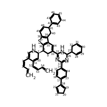 C=C/C=C\C1=CN[C@@H](C2CC(C3=NC(c4ccc(C5=CCC=C5)cc4)=NC(C4C=CC=CC4)N3)=Cc3c2sc2c3CC(c3ccccc3)C=C2)C=C1/C=C\C=C